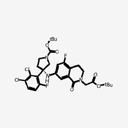 CC(C)(C)OC(=O)CN1CCc2c(F)cc(N[C@]3(c4c(F)ccc(Cl)c4Cl)CCN(C(=O)OC(C)(C)C)C3)cc2C1=O